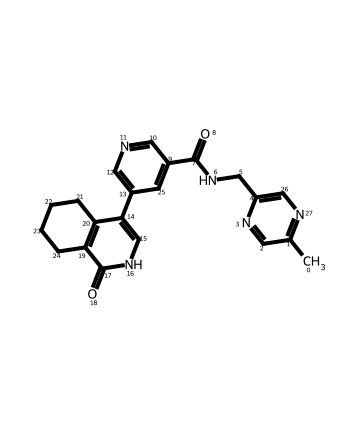 Cc1cnc(CNC(=O)c2cncc(-c3c[nH]c(=O)c4c3CCCC4)c2)cn1